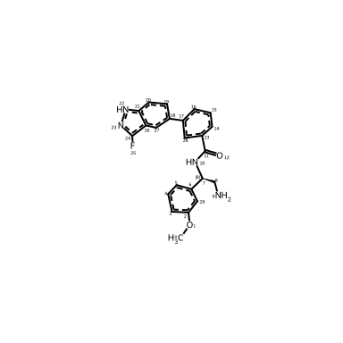 COc1cccc([C@H](CN)NC(=O)c2cccc(-c3ccc4[nH]nc(F)c4c3)c2)c1